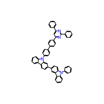 c1ccc(-c2cc(-c3ccc(-c4ccc(-n5c6ccccc6c6ccc(-c7ccc8c(c7)c7ccccc7n8-c7ccccc7)cc65)cc4)cc3)nc(-c3ccccc3)n2)cc1